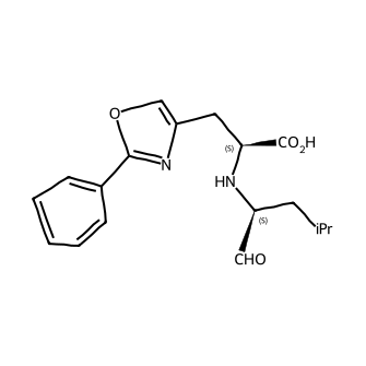 CC(C)C[C@@H](C=O)N[C@@H](Cc1coc(-c2ccccc2)n1)C(=O)O